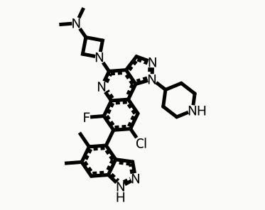 Cc1cc2[nH]ncc2c(-c2c(Cl)cc3c(nc(N4CC(N(C)C)C4)c4cnn(C5CCNCC5)c43)c2F)c1C